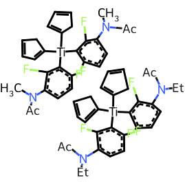 CC(=O)N(C)c1ccc(F)[c]([Ti]([C]2=CC=CC2)([C]2=CC=CC2)[c]2c(F)ccc(N(C)C(C)=O)c2F)c1F.CCN(C(C)=O)c1ccc(F)[c]([Ti]([C]2=CC=CC2)([C]2=CC=CC2)[c]2c(F)ccc(N(CC)C(C)=O)c2F)c1F